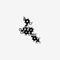 COc1ccc(OC)c(CCN(CCC(=O)O)C(=O)c2ccccc2-c2ccccc2C(=O)NCc2ccc(C(C)(C)C)cc2)c1